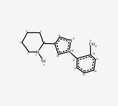 [2H]N1CCCCC1c1cnn(-c2ccccc2C)c1